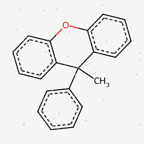 CC1(c2ccccc2)c2ccccc2Oc2ccccc21